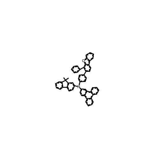 CC1(C)c2ccccc2-c2ccc(N(c3ccc(-c4ccc5c(oc6ccccc65)c4-c4ccccc4)cc3)c3ccc4c5ccccc5c5ccccc5c4c3)cc21